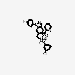 O=C(c1ccccn1)C12Cc3cnn(-c4ccc(F)cc4)c3C=C1CCN(S(=O)(=O)c1cccc(Cl)c1)C2